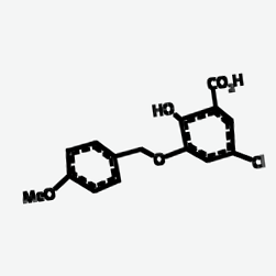 COc1ccc(COc2cc(Cl)cc(C(=O)O)c2O)cc1